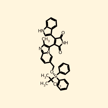 Cc1nc2ccc(CO[Si](c3ccccc3)(c3ccccc3)C(C)(C)C)cn2c1C1=C(c2c[nH]c3ccccc23)C(=O)NC1=O